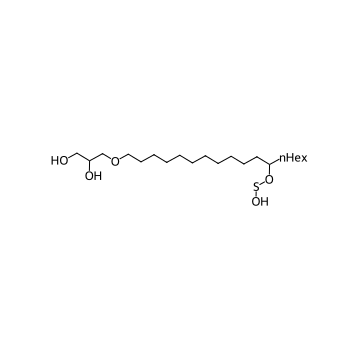 CCCCCCC(CCCCCCCCCCCOCC(O)CO)OSO